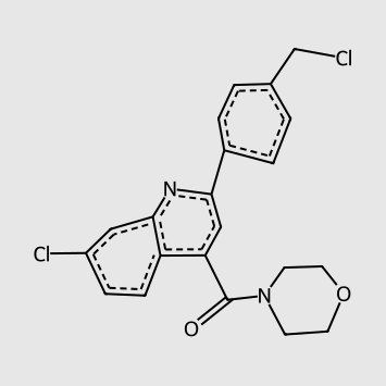 O=C(c1cc(-c2ccc(CCl)cc2)nc2cc(Cl)ccc12)N1CCOCC1